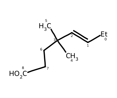 CCC=CC(C)(C)CCC(=O)O